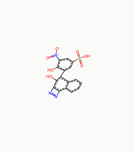 O=[N+]([O-])c1cc(S(=O)(=O)O)cc(-c2c(O)c3c(c4ccccc24)N=N3)c1O